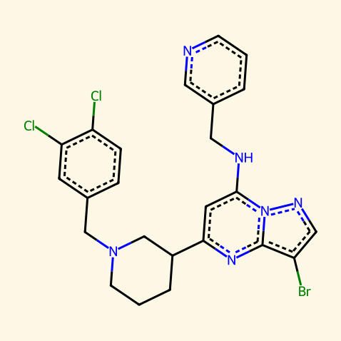 Clc1ccc(CN2CCCC(c3cc(NCc4cccnc4)n4ncc(Br)c4n3)C2)cc1Cl